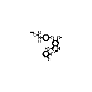 CCOC(=O)NC1CCC(Oc2cc3c(Nc4cccc(Cl)c4F)ncnc3cc2OC)CC1